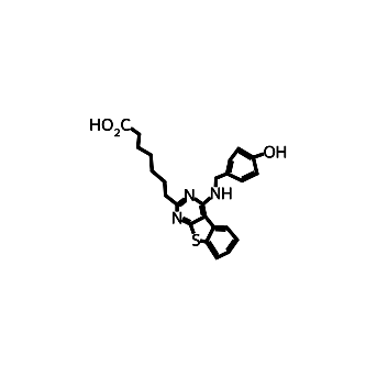 O=C(O)CCCCCCc1nc(NCc2ccc(O)cc2)c2c(n1)sc1ccccc12